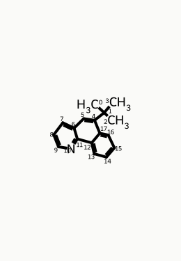 CC(C)(C)c1cc2cccnc2c2ccccc12